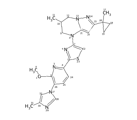 COc1nc(-c2nc(N3CC(C)Cn4nc(C5(C)CC5)cc43)cs2)ccc1-n1cnc(C)c1